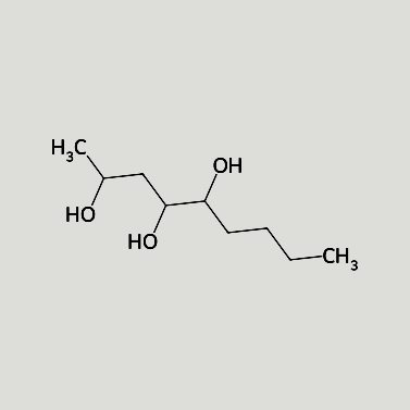 CCCCC(O)C(O)CC(C)O